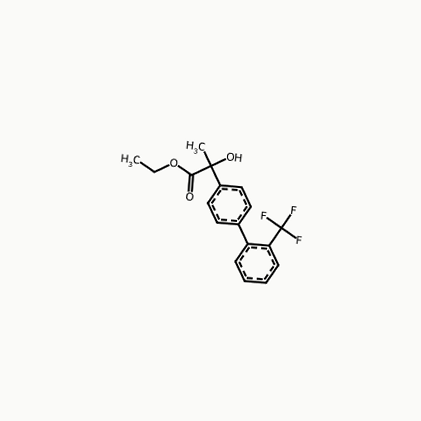 CCOC(=O)C(C)(O)c1ccc(-c2ccccc2C(F)(F)F)cc1